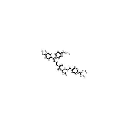 COc1ccc(C(=C/C=C/C(=O)N[C@H](C)CCCc2ccc(C(C)C)nc2)c2ccc(OC)cc2)cc1